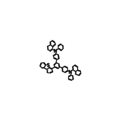 c1ccc(N(c2ccc(-c3cc(-c4ccc(N(c5ccccc5)c5cccc6ccccc56)cc4)cc(-c4cccc5c4sc4ccccc45)c3)cc2)c2cccc3ccccc23)cc1